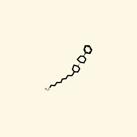 CCCCCCCCCC1CC[C]([C@H]2CC[C@H](c3ccccc3)CC2)CC1